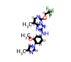 COc1cc(Nc2nc3c(C)cnc(OCC(F)(F)F)n3n2)ccc1-n1cnc(C)c1